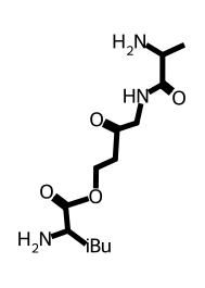 CCC(C)C(N)C(=O)OCCC(=O)CNC(=O)C(C)N